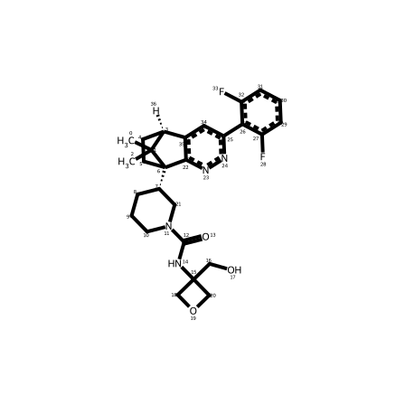 CC1(C)[C@H]2CCC1([C@H]1CCCN(C(=O)NC3(CO)COC3)C1)c1nnc(-c3c(F)cccc3F)cc12